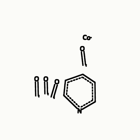 [C]=O.[C]=O.[C]=O.[C]=O.[Co].c1ccncc1